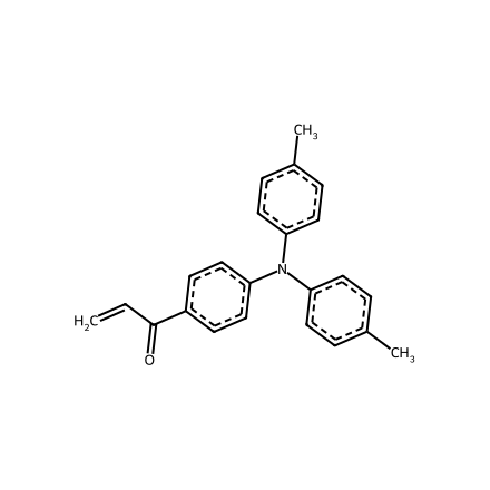 C=CC(=O)c1ccc(N(c2ccc(C)cc2)c2ccc(C)cc2)cc1